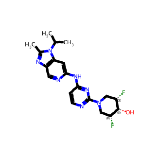 Cc1nc2cnc(Nc3ccnc(N4C[C@@H](F)[C@@H](O)[C@@H](F)C4)n3)cc2n1C(C)C